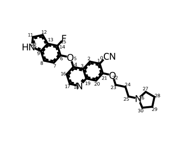 N#Cc1cc2c(Oc3ccc4[nH]ccc4c3F)ccnc2cc1OCCCN1CCCC1